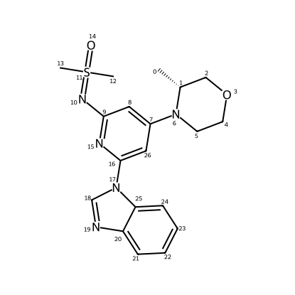 C[C@@H]1COCCN1c1cc(N=S(C)(C)=O)nc(-n2cnc3ccccc32)c1